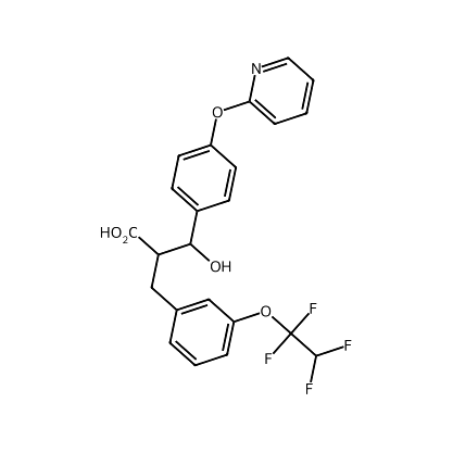 O=C(O)C(Cc1cccc(OC(F)(F)C(F)F)c1)C(O)c1ccc(Oc2ccccn2)cc1